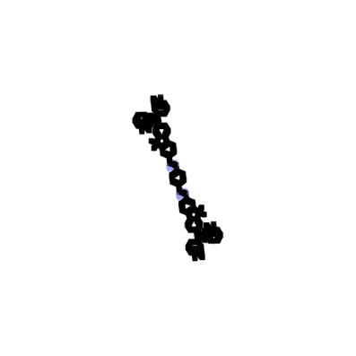 CC1(C)c2cc(/C=C/c3ccc(/C=C/c4ccc5c(c4)C(C)(C)c4cc(N(c6cccnc6)c6ccccn6)ccc4-5)cc3)ccc2-c2ccc(N(c3cccnc3)c3ccccn3)cc21